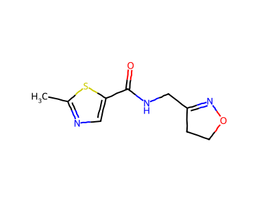 Cc1ncc(C(=O)NCC2=NOCC2)s1